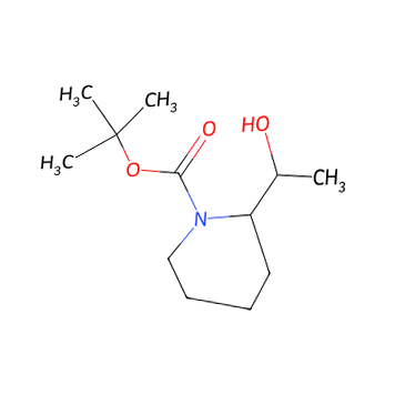 CC(O)C1CCCCN1C(=O)OC(C)(C)C